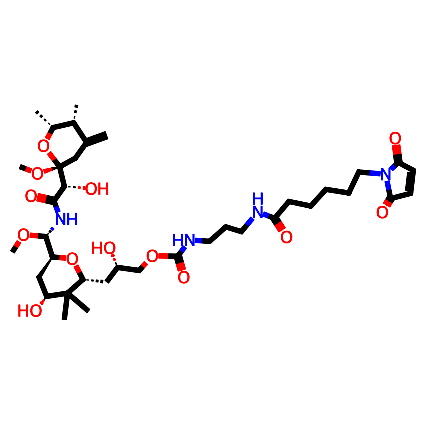 C=C1C[C@](OC)([C@H](O)C(=O)N[C@@H](OC)[C@@H]2C[C@@H](O)C(C)(C)[C@@H](C[C@H](O)COC(=O)NCCCNC(=O)CCCCCN3C(=O)C=CC3=O)O2)O[C@H](C)[C@@H]1C